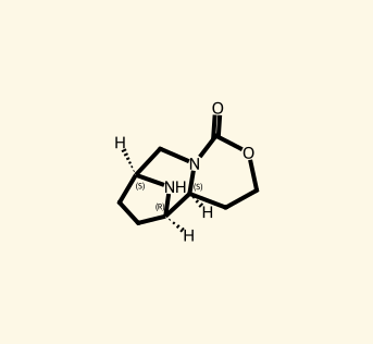 O=C1OCC[C@H]2[C@H]3CC[C@@H](CN12)N3